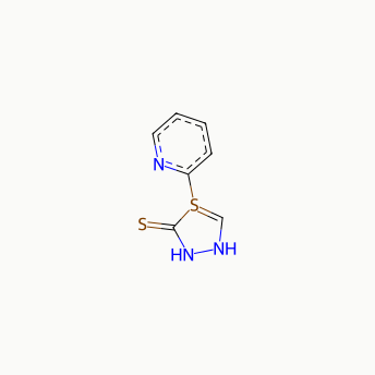 S=C1NNC=S1c1ccccn1